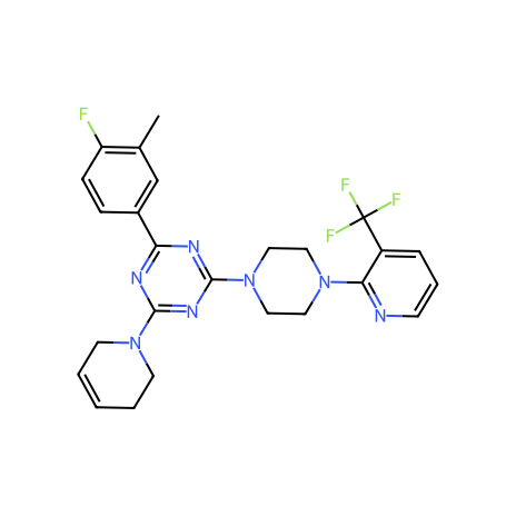 Cc1cc(-c2nc(N3CC=CCC3)nc(N3CCN(c4ncccc4C(F)(F)F)CC3)n2)ccc1F